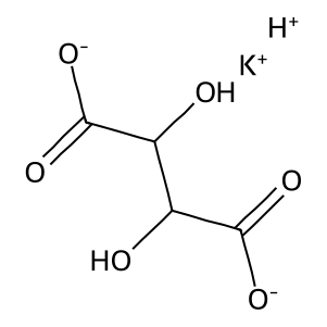 O=C([O-])C(O)C(O)C(=O)[O-].[H+].[K+]